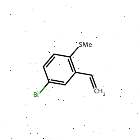 C=[C]c1cc(Br)ccc1SC